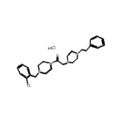 Cl.O=C(CN1CCN(CCc2ccccc2)CC1)N1CCN(Cc2ccccc2Cl)CC1